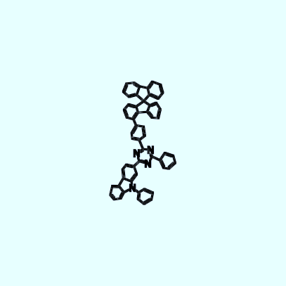 c1ccc(-c2nc(-c3ccc(-c4cccc5c4-c4ccccc4C54c5ccccc5-c5ccccc54)cc3)nc(-c3ccc4c5ccccc5n(-c5ccccc5)c4c3)n2)cc1